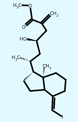 C=C(C[C@H](O)C[C@@H](C)[C@H]1CCC2C(=CI)CCC[C@@]21C)C(=O)OC